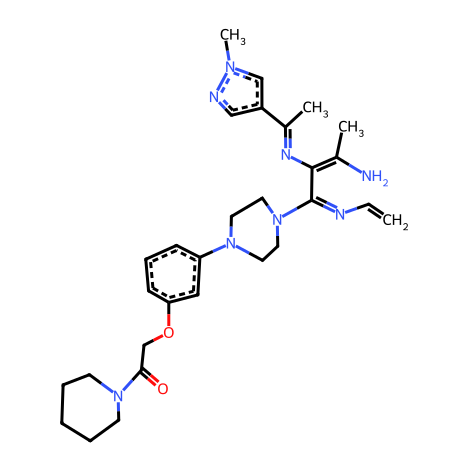 C=C\N=C(C(/N=C(\C)c1cnn(C)c1)=C(/C)N)\N1CCN(c2cccc(OCC(=O)N3CCCCC3)c2)CC1